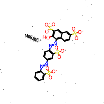 O=S(=O)([O-])c1ccc2c(N=Nc3ccc(N=Nc4ccccc4S(=O)(=O)[O-])cc3S(=O)(=O)[O-])c(O)c(S(=O)(=O)[O-])cc2c1.[Na+].[Na+].[Na+].[Na+]